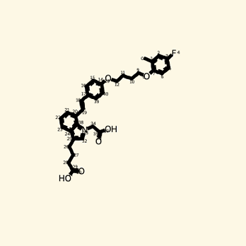 Cc1cc(F)ccc1OCCCCOc1ccc(C=Cc2cccc3c(CCCC(=O)O)cn(CC(=O)O)c23)cc1